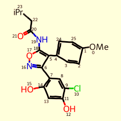 COc1ccc(-c2c(-c3cc(Cl)c(O)cc3O)noc2NC(=O)CC(C)C)cc1